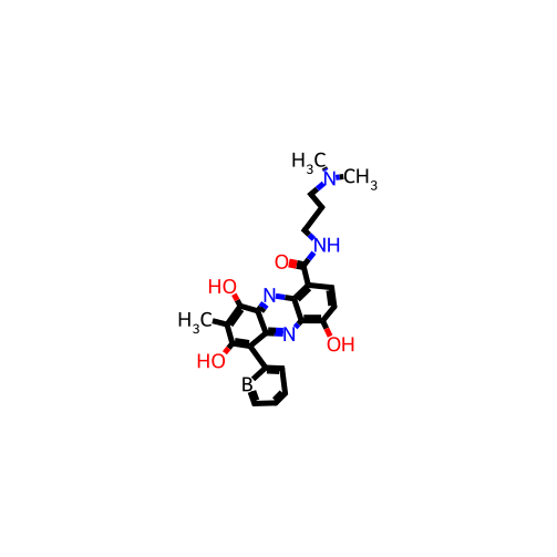 Cc1c(O)c(-c2bcccc2)c2nc3c(O)ccc(C(=O)NCCCN(C)C)c3nc2c1O